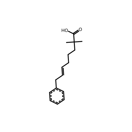 CC(C)(CCC/C=C/Cc1ccccc1)C(=O)O